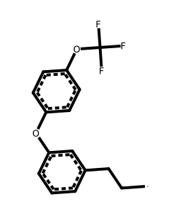 [CH2]CCc1cccc(Oc2ccc(OC(F)(F)F)cc2)c1